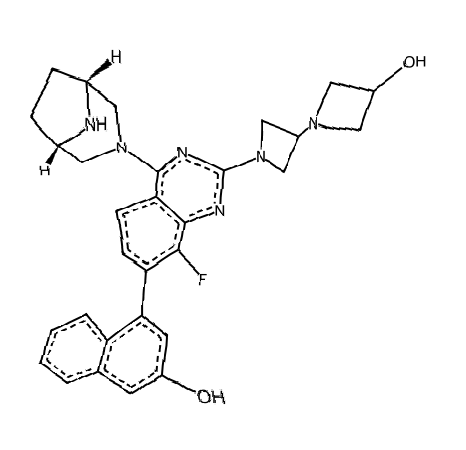 Oc1cc(-c2ccc3c(N4C[C@H]5CC[C@@H](C4)N5)nc(N4CC(N5CC(O)C5)C4)nc3c2F)c2ccccc2c1